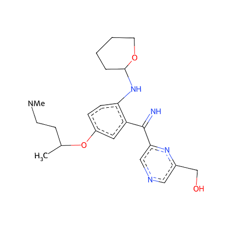 CNCCC(C)Oc1ccc(NC2CCCCO2)c(C(=N)c2cncc(CO)n2)c1